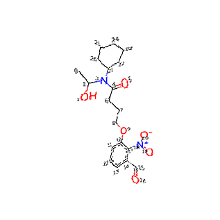 CC(O)N(C(=O)CCCOc1cccc(C=O)c1[N+](=O)[O-])C1CCCCC1